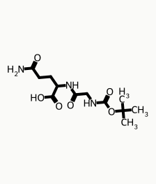 CC(C)(C)OC(=O)NCC(=O)NC(CCC(N)=O)C(=O)O